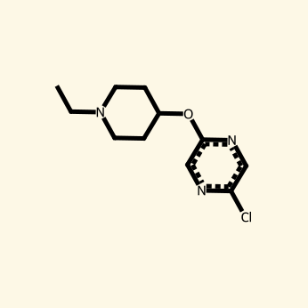 CCN1CCC(Oc2cnc(Cl)cn2)CC1